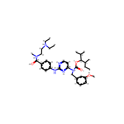 CCC(C)C(OC(=O)N(Cc1cccc(OC)c1)c1ccnc(Nc2ccc(C(=O)N(C)CCN(CC)CC)cc2)n1)C(C)C